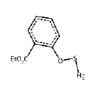 CCOC(=O)c1ccccc1O[S][Hg]